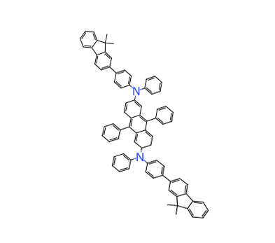 CC1(C)c2ccccc2-c2ccc(-c3ccc(N(c4ccccc4)c4ccc5c(-c6ccccc6)c6c(c(-c7ccccc7)c5c4)=CCC(N(c4ccccc4)c4ccc(-c5ccc7c(c5)C(C)(C)c5ccccc5-7)cc4)C=6)cc3)cc21